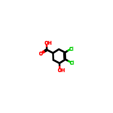 O=C(O)C1CC(Cl)=C(Cl)C(O)C1